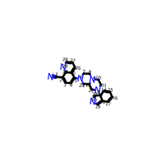 N#Cc1ccc(N2CCN3CCN(C45C=CC=CC4=CN=C5)CC3C2)c2cccnc12